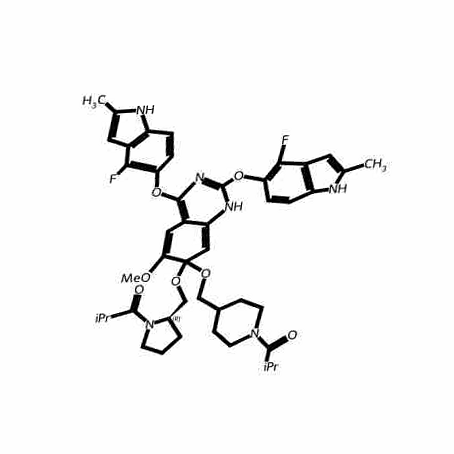 COC1=CC2=C(Oc3ccc4[nH]c(C)cc4c3F)N=C(Oc3ccc4[nH]c(C)cc4c3F)NC2=CC1(OCC1CCN(C(=O)C(C)C)CC1)OC[C@H]1CCCN1C(=O)C(C)C